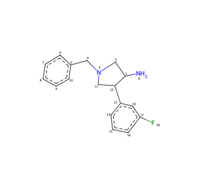 NC1CN(Cc2ccccc2)CC1c1cccc(F)c1